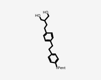 CCCCCc1ccc(CCc2ccc(CCC(CO)CO)cc2)cc1